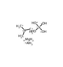 CN(C)C.O[Si](O)(O)O.[AlH3].[MgH2]